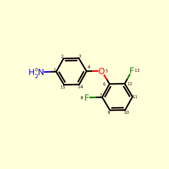 Nc1ccc(Oc2c(F)cccc2F)cc1